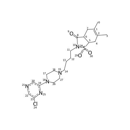 CC1=C(C)CC2C(C1)C(=O)N(CCCCN1CCN(c3cncc(Cl)n3)CC1)S2(=O)=O